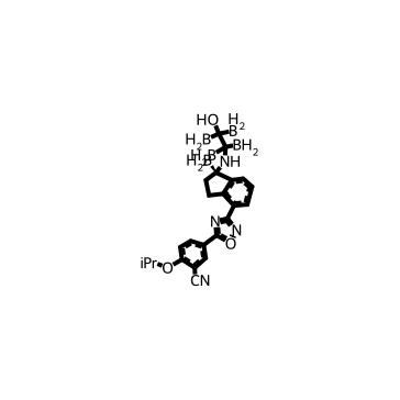 BC(B)(O)C(B)(B)N[C@@]1(B)CCc2c(-c3noc(-c4ccc(OC(C)C)c(C#N)c4)n3)cccc21